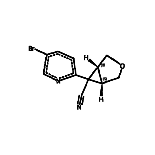 N#CC1(c2ccc(Br)cn2)[C@@H]2COC[C@@H]21